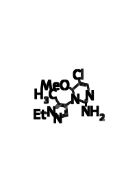 CCn1ncc(N2C(N)=NC=C(Cl)C2OC)c1C